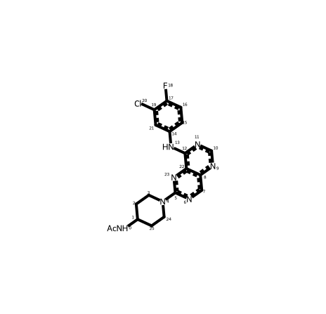 CC(=O)NC1CCN(c2ncc3ncnc(Nc4ccc(F)c(Cl)c4)c3n2)CC1